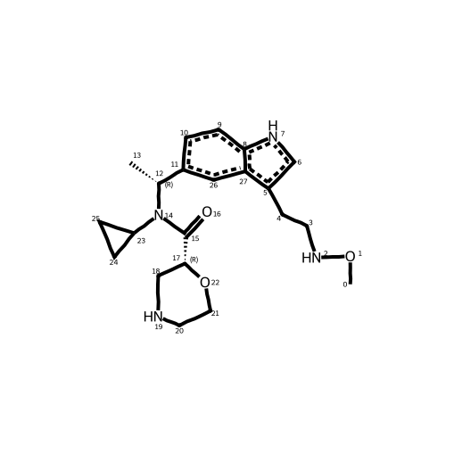 CONCCc1c[nH]c2ccc([C@@H](C)N(C(=O)[C@H]3CNCCO3)C3CC3)cc12